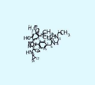 CCN1CCN(Cc2ccc(-n3c(C(=O)NC4CC4)nnc3-c3cc(C(C)C)c(OC)cc3O)cc2)CC1